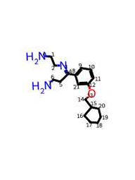 NCC/N=C(\CCN)c1cccc(OCC2CCCCC2)c1